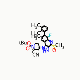 Cc1cccc(-c2c(C)cc3c(nc([S+](C)[O-])c4nnn([C@H]5CCN(C(=O)OC(C)(C)C)[C@H](CC#N)C5)c43)c2F)c1C